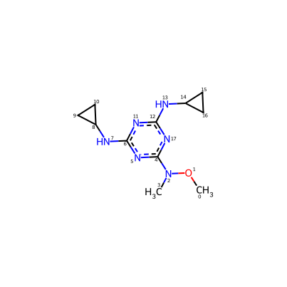 CON(C)c1nc(NC2CC2)nc(NC2CC2)n1